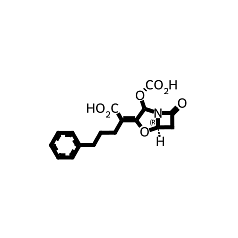 O=C(O)OC1C(=C(CCCc2ccccc2)C(=O)O)O[C@@H]2CC(=O)N12